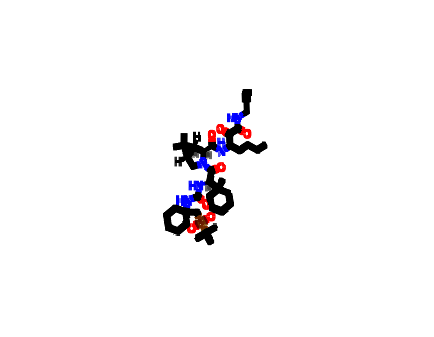 C#CCNC(=O)C(=O)C(CCCC)NC(=O)[C@@H]1[C@@H]2[C@H](CN1C(=O)[C@@H](NC(=O)NC1(CS(=O)(=O)C(C)(C)C)CCCCC1)C1(C)CCCCC1)C2(C)C